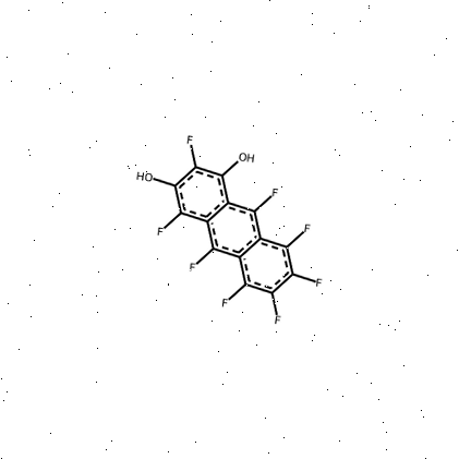 Oc1c(F)c(O)c2c(F)c3c(F)c(F)c(F)c(F)c3c(F)c2c1F